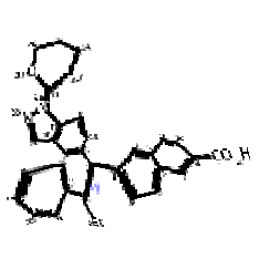 CC/C(=C(\c1ccc2cc(C(=O)O)ccc2c1)c1ccc2c(cnn2C2CCCCO2)c1)c1ccccc1